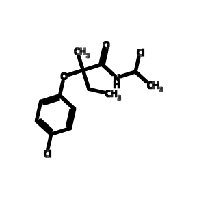 CCC(C)(Oc1ccc(Cl)cc1)C(=O)NC(C)Cl